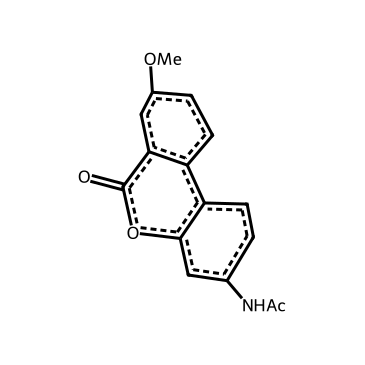 COc1ccc2c(c1)c(=O)oc1cc(NC(C)=O)ccc12